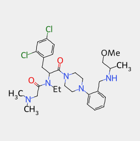 CCN(C(=O)CN(C)C)C(Cc1ccc(Cl)cc1Cl)C(=O)N1CCN(c2ccccc2CNC(C)COC)CC1